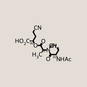 CC(=O)N[C@@H](CC(C)C)C(=O)N(C)[C@@H](C)C(=O)O[C@H](CCC#N)C(=O)O